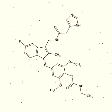 CCNC(=O)Oc1c(OC)cc(C=C2C(C)=C(CNC(=O)Cc3cnc[nH]3)c3cc(F)ccc32)cc1OC